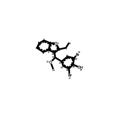 CCc1oc2ccccc2c1C(OC)c1cc(Br)c(O)c(Br)c1